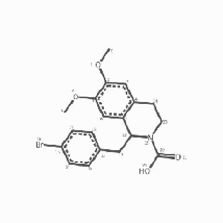 COc1cc2c(cc1OC)C(Cc1ccc(Br)cc1)N(C(=O)O)CC2